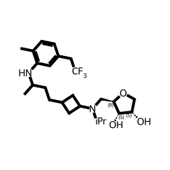 Cc1ccc(CC(F)(F)F)cc1NC(C)CCC1CC(N(C[C@H]2OC[C@H](O)[C@@H]2O)C(C)C)C1